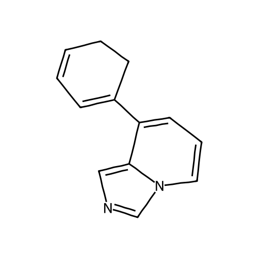 C1=CCCC(c2cccn3cncc23)=C1